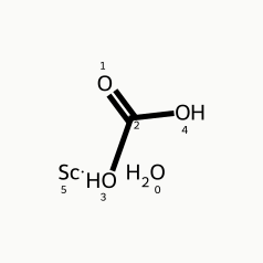 O.O=C(O)O.[Sc]